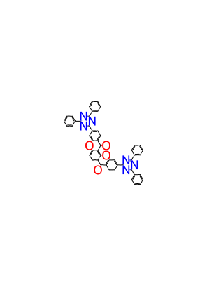 O=c1c2ccc(-c3nc(-c4ccccc4)nc(-c4ccccc4)n3)cc2oc2c1ccc1oc3cc(-c4nc(-c5ccccc5)nc(-c5ccccc5)n4)ccc3c(=O)c12